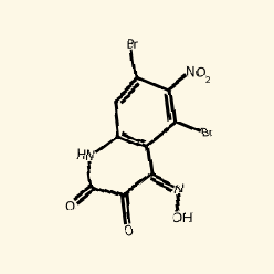 O=C1Nc2cc(Br)c([N+](=O)[O-])c(Br)c2C(=NO)C1=O